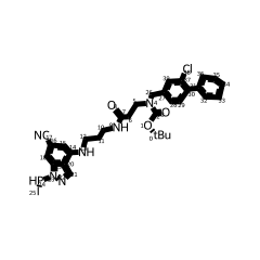 CC(C)(C)OC(=O)N(CCC(=O)NCCCNc1cc(C#N)cc2c1cnn2PI)Cc1ccc(-c2ccccc2)c(Cl)c1